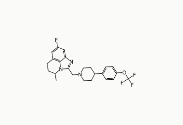 CC1CCc2cc(F)cc3nc(CN4CCC(c5ccc(OC(F)(F)F)cc5)CC4)n1c23